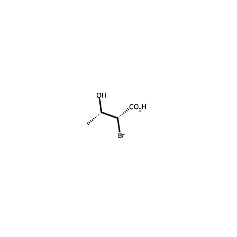 C[C@H](O)[C@@H](Br)C(=O)O